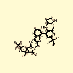 Cc1nc(C(F)(F)F)cc(-c2ccnc3cc(CN4C(=O)C5C(C)(C)C5(OC(=O)C(F)(F)F)C4=O)sc23)c1NC1CCNC1